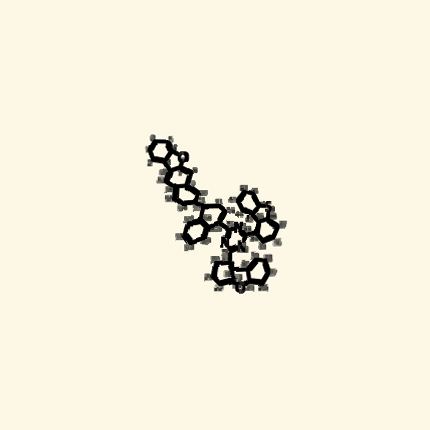 c1ccc2c(c1)oc1cc3cc(-c4ccc(-c5nc(-c6cccc7oc8ccccc8c67)nc(-c6cccc7sc8ccccc8c67)n5)c5ccccc45)ccc3cc12